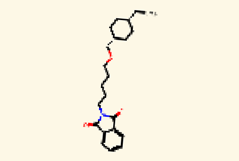 COC[C@H]1CC[C@H](COCCCCCN2C(=O)c3ccccc3C2=O)CC1